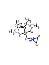 C=C(C)[Si](CC)(CC)CN1CC1